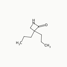 CCCC1(CCC)CNC1=O